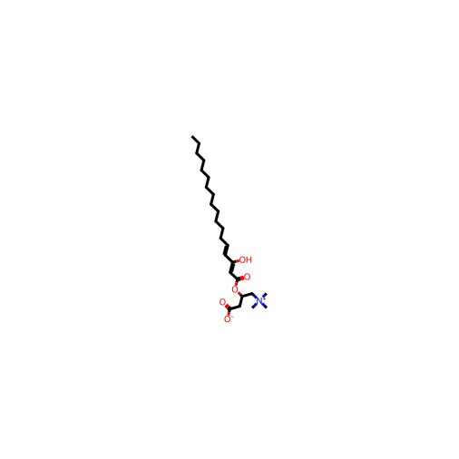 CCCCCCCCCCCCCC=CC(O)=CC(=O)OC(CC(=O)[O-])C[N+](C)(C)C